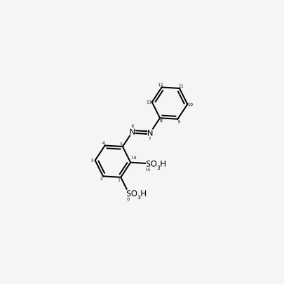 O=S(=O)(O)c1cccc(N=Nc2ccccc2)c1S(=O)(=O)O